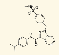 CNS(=O)(=O)c1ccc(Cn2nc(C(=O)Nc3ccc(C(C)C)cc3)c3ccccc32)cc1